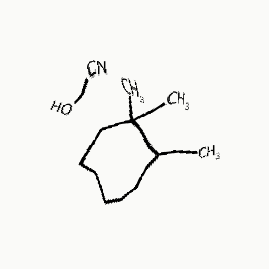 CC1CCCCC1(C)C.N#CO